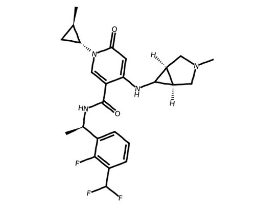 C[C@@H]1C[C@H]1n1cc(C(=O)N[C@H](C)c2cccc(C(F)F)c2F)c(NC2[C@H]3CN(C)C[C@@H]23)cc1=O